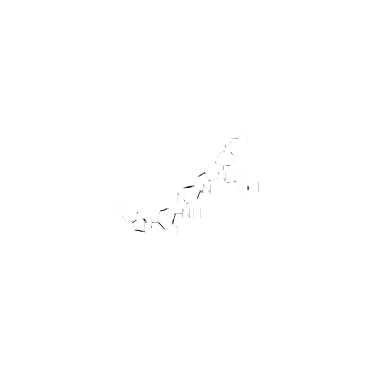 CCN1CCC(N(CC(=O)OC)c2ccc3cnc(Nc4ccc(-n5ccc(CO)n5)cc4F)cc3n2)CC1